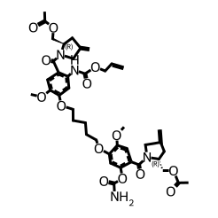 C=CCOC(=O)Nc1cc(OCCCCCOc2cc(OC(N)=O)c(C(=O)N3CC(=C)C[C@@H]3COC(C)=O)cc2OC)c(OC)cc1C(=O)N1CC(=C)C[C@@H]1COC(C)=O